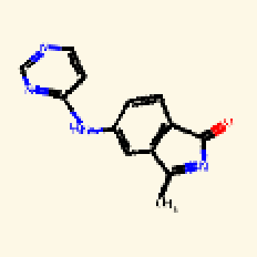 CC1=NC(=O)c2ccc(Nc3ccncn3)cc21